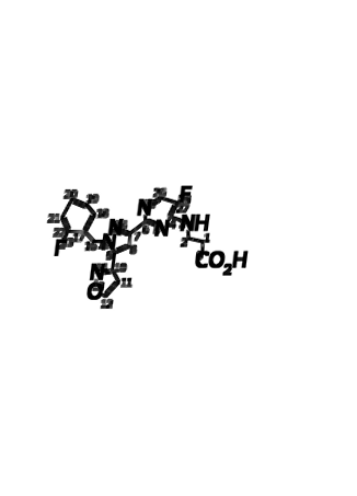 O=C(O)CCNc1nc(-c2cc(-c3ccon3)n(Cc3ccccc3F)n2)ncc1F